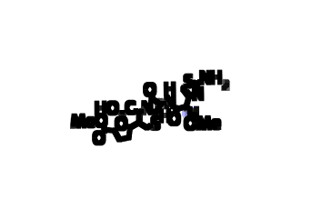 CO/N=C(\C(=O)N[C@@H]1C(=O)N2C(C(=O)O)=C(C3CCC(C(=O)OC)O3)CS[C@H]12)c1csc(N)n1